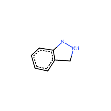 c1ccc2c(c1)CN[N]2